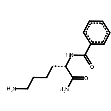 NCCCC[C@H](NC(=O)c1ccccc1)C(N)=O